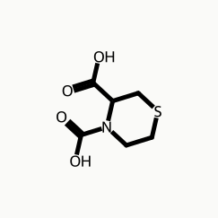 O=C(O)C1CSCCN1C(=O)O